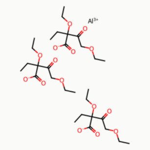 CCOCC(=O)C(CC)(OCC)C(=O)[O-].CCOCC(=O)C(CC)(OCC)C(=O)[O-].CCOCC(=O)C(CC)(OCC)C(=O)[O-].[Al+3]